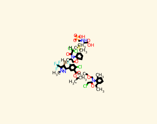 CC(C)OC(=O)c1cc(-c2nn(C)c(C(F)(F)F)c2Br)c(F)cc1Cl.CC1COc2ccccc2N1C(=O)C(Cl)Cl.CCOCN(C(=O)CCl)c1c(C)cccc1CC.C[S+](C)C.O=C(O)CNCP(=O)([O-])O